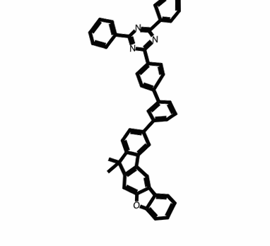 CC1(C)c2ccc(-c3cccc(-c4ccc(-c5nc(-c6ccccc6)nc(-c6ccccc6)n5)cc4)c3)cc2-c2cc3c(cc21)oc1ccccc13